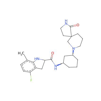 Cc1ccc(F)c2c1NC(C(=O)N[C@@H]1CCC[C@H](N3CCCC4(CCNC4=O)C3)C1)C2